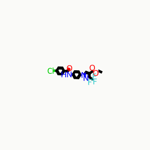 CCOC(=O)c1cn(-c2ccc(NC(=O)c3ccc(Cl)cc3)cc2)nc1C(F)(F)F